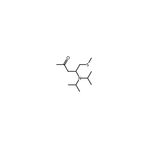 CSCC(CC(C)=O)N(C(C)C)C(C)C